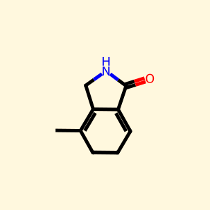 CC1=C2CNC(=O)C2=CCC1